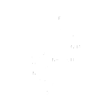 CC(=O)N[C@@H](Cc1cccc(F)c1)[C@H](O)CN[C@H]1CC2(CCC2)Oc2ncc(CC(F)(F)F)cc21